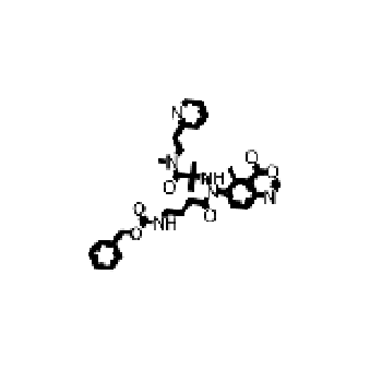 Cc1c(N(NC(C)(C)C(=O)N(C)CCc2ccccn2)C(=O)CCCNC(=O)OCc2ccccc2)ccc2ncoc(=O)c12